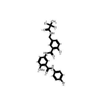 CCC(C)(CC)C(=O)NCc1ccc(Cl)c(C(=O)Nc2ccc(OC)c(C(=O)Nc3ccc(Br)cc3)c2)c1